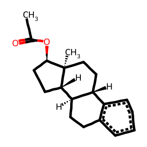 CC(=O)O[C@@H]1CC[C@H]2[C@@H]3CCc4ccccc4[C@H]3CC[C@]12C